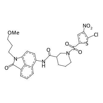 COCCCN1C(=O)c2cccc3c(NC(=O)C4CCCN(S(=O)(=O)c5cc([N+](=O)[O-])c(Cl)s5)C4)ccc1c23